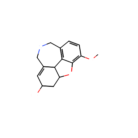 COc1ccc2c3c1OC1CC(O)C=C(CNC2)C31